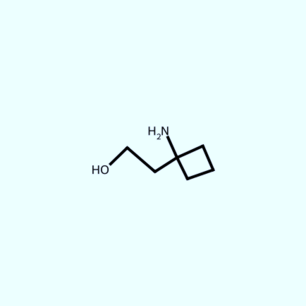 NC1(CCO)CCC1